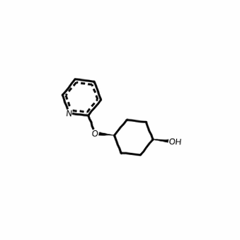 O[C@H]1CC[C@@H](Oc2ccccn2)CC1